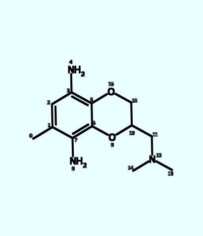 Cc1cc(N)c2c(c1N)OC(CN(C)C)CO2